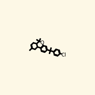 CC1=CCC2C(C1)c1ccc(C(C)(C)c3ccc(Cl)cc3)cc1OC2(C)C